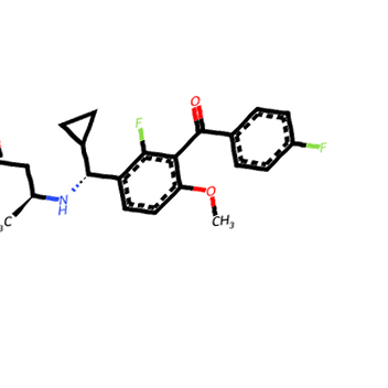 COc1ccc([C@H](N[C@@H](C)CC=O)C2CC2)c(F)c1C(=O)c1ccc(F)cc1